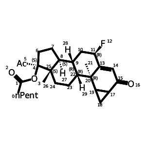 CCCCCC(=O)O[C@@]1(C(C)=O)CC[C@H]2[C@@H]3C[C@@H](F)C4=CC(=O)C5CC5[C@@]4(C)[C@@H]3CC[C@@]21C